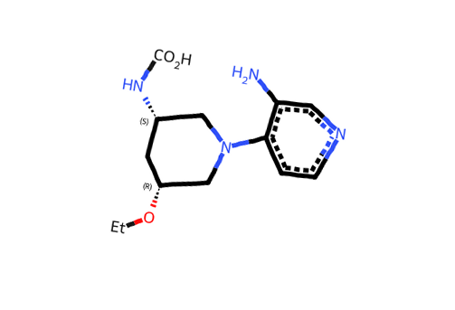 CCO[C@@H]1C[C@H](NC(=O)O)CN(c2ccncc2N)C1